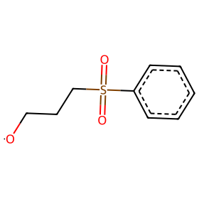 [O]CCCS(=O)(=O)c1ccccc1